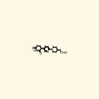 O=CCC1CCN(c2ccc(C3CCC(=O)NC3=O)cn2)CC1